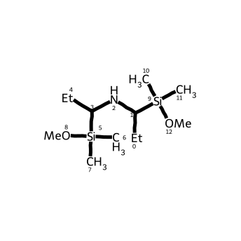 CCC(NC(CC)[Si](C)(C)OC)[Si](C)(C)OC